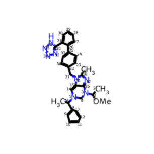 COC(C)N1CN(C(C)c2ccccc2)C=C2C1=NC(C)N2Cc1ccc(-c2ccccc2-c2nnn[nH]2)cc1